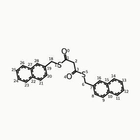 O=C(CC(=O)SCc1ccc2ccccc2c1)SCc1ccc2ccccc2c1